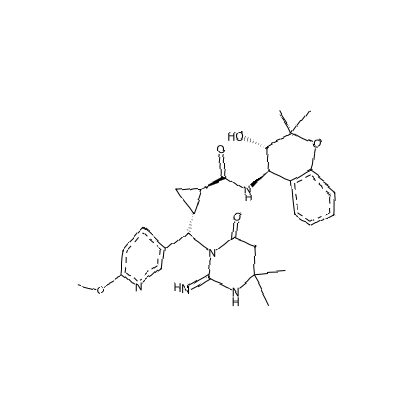 COc1ccc(C([C@@H]2C[C@H]2C(=O)N[C@@H]2c3ccccc3OC(C)(C)[C@H]2O)N2C(=N)NC(C)(C)CC2=O)cn1